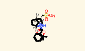 CC(C)(C)OC(=O)N[C@@H]1[C@H]2CC[C@H]1N(Cc1ccccc1)C[C@H]2CS(=O)(=O)O